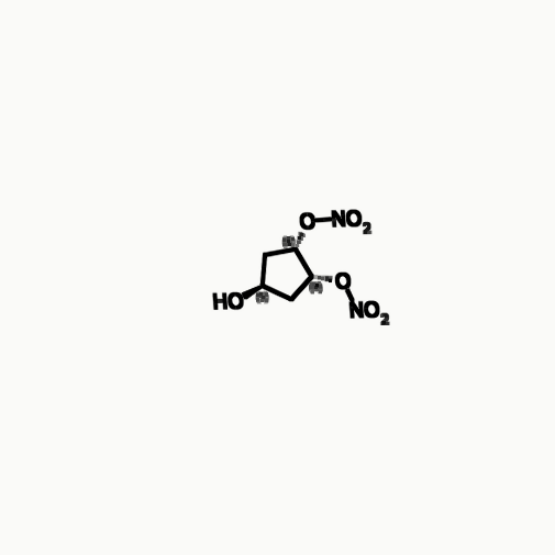 O=[N+]([O-])O[C@H]1C[C@H](O)C[C@H]1O[N+](=O)[O-]